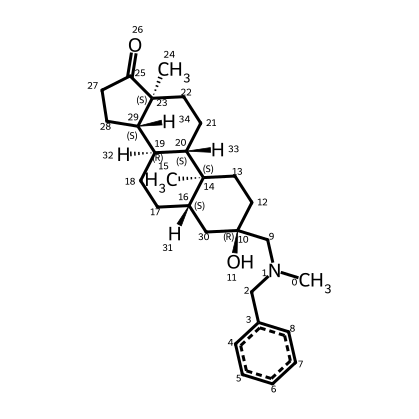 CN(Cc1ccccc1)C[C@@]1(O)CC[C@@]2(C)[C@@H](CC[C@@H]3[C@@H]2CC[C@]2(C)C(=O)CC[C@@H]32)C1